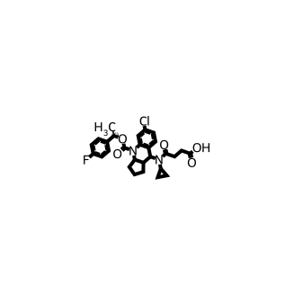 C[C@H](OC(=O)N1c2cc(Cl)ccc2C(N(C(=O)CCC(=O)O)C2CC2)C2CCCC21)c1ccc(F)cc1